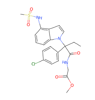 CCC(C(=O)NCC(=O)OC)(c1ccc(Cl)cc1)n1ccc2c(NS(C)(=O)=O)cccc21